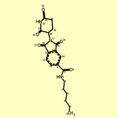 CCCCCCNC(=O)c1ccc2c(c1)C(=O)N(C1CCC(=O)NC1=O)C2=O